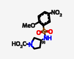 COc1ccc([N+](=O)[O-])cc1S(=O)(=O)N[C@@H]1CCN(C(=O)O)C1